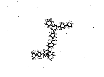 CC(C)(c1ccc(-c2cc(-c3ccc(-c4ccccc4)cc3)nc(C3=CCCC=C3)n2)cc1)c1ccc(-c2cc(-c3ccc(-c4ccccc4)cc3)nc(-c3ccccc3)n2)cc1